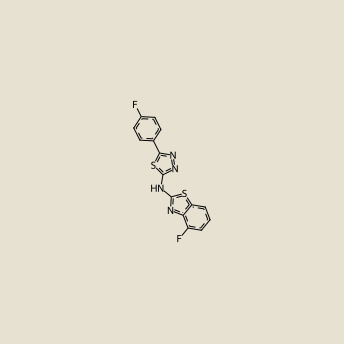 Fc1ccc(-c2nnc(Nc3nc4c(F)cccc4s3)s2)cc1